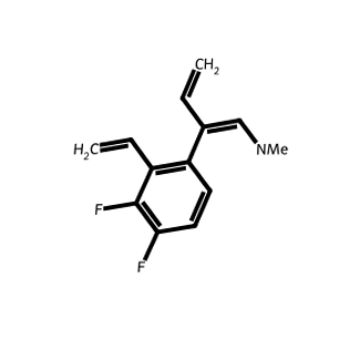 C=C/C(=C/NC)c1ccc(F)c(F)c1C=C